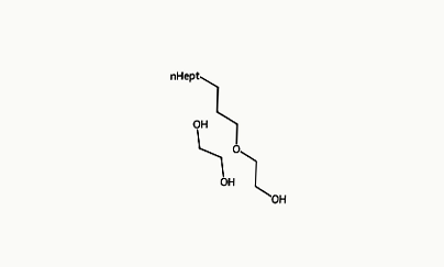 CCCCCCCCCCOCCO.OCCO